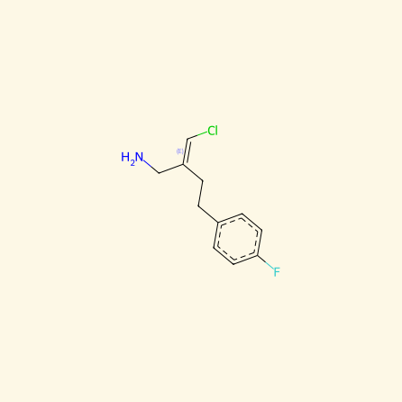 NC/C(=C/Cl)CCc1ccc(F)cc1